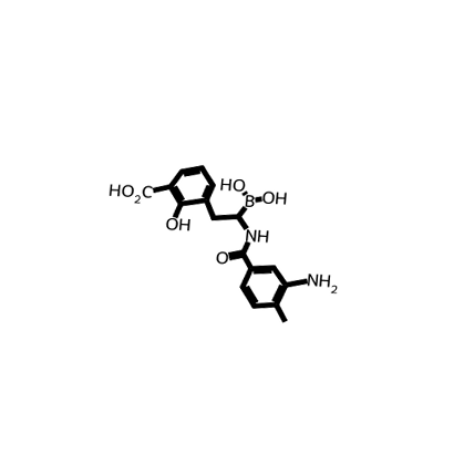 Cc1ccc(C(=O)NC(Cc2cccc(C(=O)O)c2O)B(O)O)cc1N